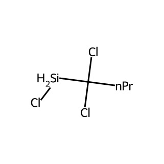 CCCC(Cl)(Cl)[SiH2]Cl